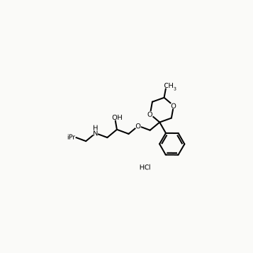 CC(C)CNCC(O)COCC1(c2ccccc2)COC(C)CO1.Cl